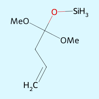 C=CCC(OC)(OC)O[SiH3]